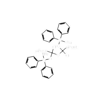 CCCCCC(Cl)(OC(Cl)(CCCCC)O[Si](c1ccccc1)(c1ccccc1)C(C)(C)C)O[Si](c1ccccc1)(c1ccccc1)C(C)(C)C